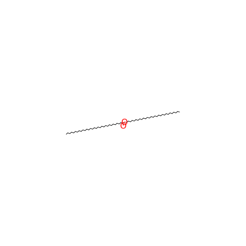 CCCCCCCCCCCCCCCCCCCCCCCCCCCCCCC(=O)OCCCCCCCCCCCCCCCCCCCCCCCCCCCCC